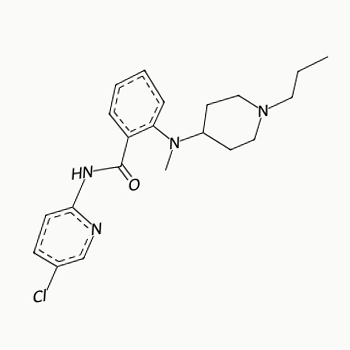 CCCN1CCC(N(C)c2ccccc2C(=O)Nc2ccc(Cl)cn2)CC1